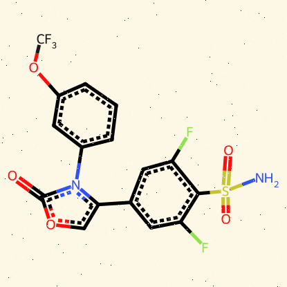 NS(=O)(=O)c1c(F)cc(-c2coc(=O)n2-c2cccc(OC(F)(F)F)c2)cc1F